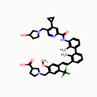 COc1cc(/C=C/c2cccc(-c3cccc(NC(=O)c4cc(C5CC5)c(CN5CCC(O)C5)cn4)c3C)c2C)c(C(F)(F)F)cc1CN1CCC(C(=O)O)C1